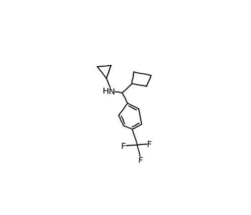 FC(F)(F)c1ccc(C(NC2CC2)C2CCC2)cc1